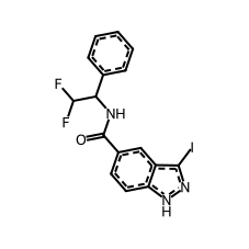 O=C(NC(c1ccccc1)C(F)F)c1ccc2[nH]nc(I)c2c1